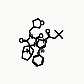 CC(C)N1C(=O)N(CC2CCOC2)C(=O)C12CC1CCC(C2)N1C[C@H]1CN(C(=O)CC(C)(C)C)C[C@@H]1c1ccccc1